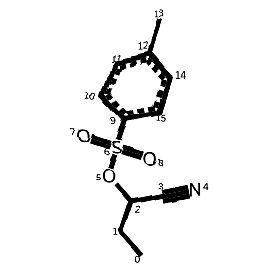 CCC(C#N)OS(=O)(=O)c1ccc(C)cc1